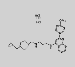 COc1ccc(-c2cc(NCCCNCC3CCN(CC4CC4)CC3)c3ccccc3n2)cc1.Cl.Cl.Cl